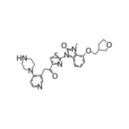 Cn1c(=O)n(-c2nc(C(=O)Cc3cnccc3N3CCNCC3)cs2)c2cccc(OCC3CCOC3)c21